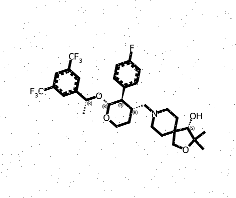 C[C@@H](O[C@H]1OCC[C@@H](CN2CCC3(CC2)COC(C)(C)[C@H]3O)[C@@H]1c1ccc(F)cc1)c1cc(C(F)(F)F)cc(C(F)(F)F)c1